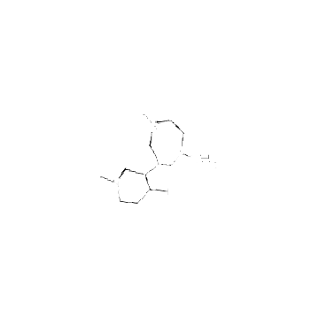 CN1CCN(I)CC(C2CN(I)CCC2I)C1